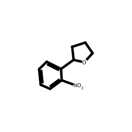 O=[N+]([O-])c1ccccc1C1CCCO1